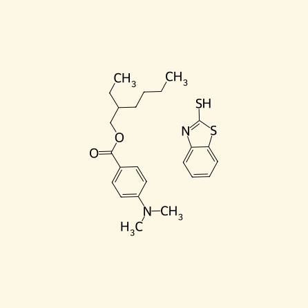 CCCCC(CC)COC(=O)c1ccc(N(C)C)cc1.Sc1nc2ccccc2s1